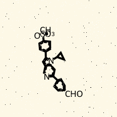 CS(=O)(=O)c1ccc(-c2cc3cnc(-c4ccc(C=O)cc4)cc3n2C2CC2)cc1